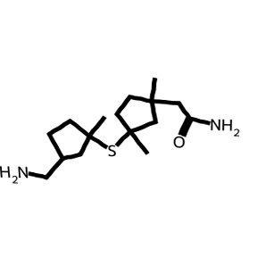 CC1(CC(N)=O)CCC(C)(SC2(C)CCC(CN)C2)C1